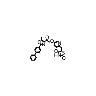 Cc1oc(-c2ccc(-c3ccccc3)cc2)nc1C(=O)COc1ccc(CC2SC(=O)NC2=O)nc1